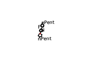 CCCCCc1ccc(-c2ccc(C3CCC(CCCCC)CC3)cn2)c(F)c1